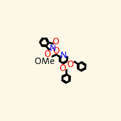 COCC(ON1C(=O)c2ccccc2C1=O)c1cc(OCc2ccccc2)c(OCc2ccccc2)cn1